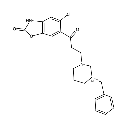 O=C(CCN1CCC[C@@H](Cc2ccccc2)C1)c1cc2oc(=O)[nH]c2cc1Cl